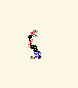 CN(C(=O)OC(C)(C)C)[C@@H]1CC[C@H](CC(=O)OCC(=O)c2ccc3c(c2)CCc2cc(-c4cnc([C@@H]5CCCN5C(=O)OC(C)(C)C)[nH]4)ccc2-3)C1